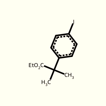 CCOC(=O)C(C)(C)c1ccc(I)cc1